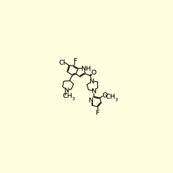 COc1cc(F)cnc1N1CCN(C(=O)c2cc3c(C4CCN(C)CC4)cc(Cl)c(F)c3[nH]2)CC1